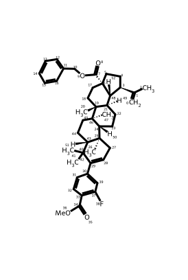 C=C(C)[C@@H]1CC[C@]2(C(=O)OCc3ccccc3)CC[C@]3(C)[C@H](CC[C@@H]4[C@@]5(C)CC=C(c6ccc(C(=O)OC)c(F)c6)C(C)(C)[C@@H]5CC[C@]43C)[C@@H]12